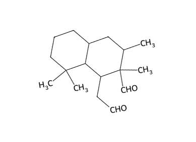 CC1CC2CCCC(C)(C)C2C(CC=O)C1(C)C=O